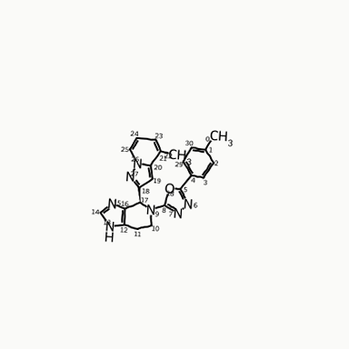 Cc1ccc(-c2nnc(N3CCc4[nH]cnc4[C@H]3c3cc4c(C)cccn4n3)o2)cc1